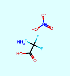 N.O=C(O)C(F)(F)F.O=[N+]([O-])O